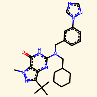 Cn1nc(C(C)(C)C)c2nc(N(Cc3cccc(-n4cncn4)c3)CC3CCCCC3)[nH]c(=O)c21